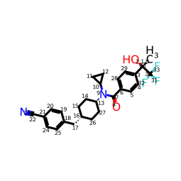 C[C@](O)(c1ccc(C(=O)N(C2CC2)[C@H]2CC[C@@H](Cc3ccc(C#N)cc3)CC2)cc1)C(F)(F)F